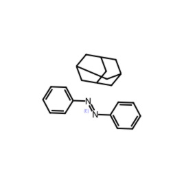 C1C2CC3CC1CC(C2)C3.c1ccc(/N=N/c2ccccc2)cc1